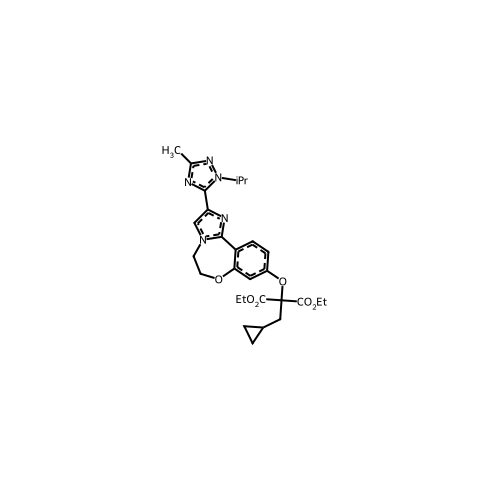 CCOC(=O)C(CC1CC1)(Oc1ccc2c(c1)OCCn1cc(-c3nc(C)nn3C(C)C)nc1-2)C(=O)OCC